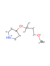 CCC(C)OCCC(C)(C)OC1CCNCC1